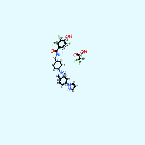 O=C(NCC1CCC(n2cc3ccc(-n4cccn4)cc3n2)CC1)c1cc(F)c(O)c(F)c1F.O=C(O)C(F)(F)F